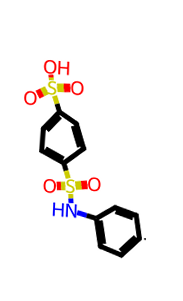 O=S(=O)(O)c1ccc(S(=O)(=O)Nc2cc[c]cc2)cc1